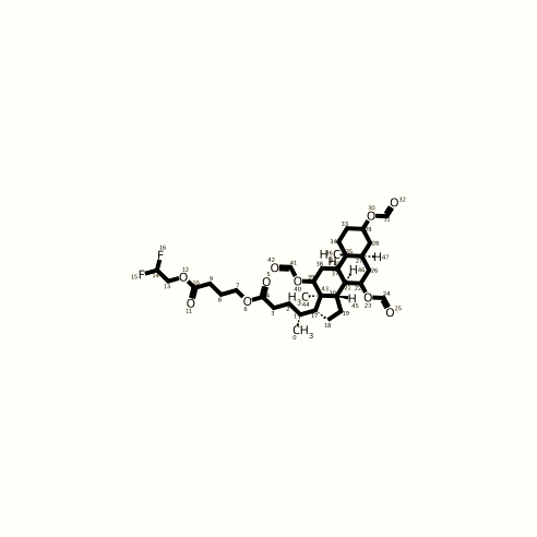 C[C@H](CCC(=O)OCCCC(=O)OCC(F)F)[C@H]1CC[C@H]2[C@@H]3C(OC=O)C[C@@H]4CC(OC=O)CC[C@]4(C)[C@H]3CC(OC=O)[C@]12C